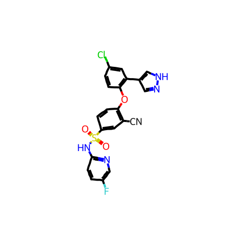 N#Cc1cc(S(=O)(=O)Nc2ccc(F)cn2)ccc1Oc1ccc(Cl)cc1-c1cn[nH]c1